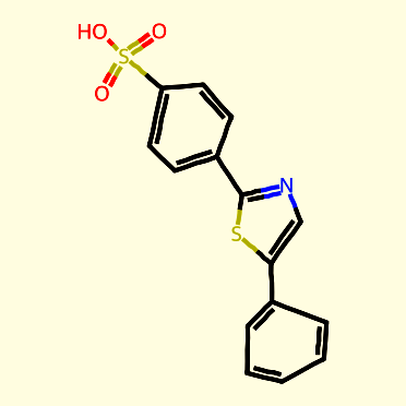 O=S(=O)(O)c1ccc(-c2ncc(-c3ccccc3)s2)cc1